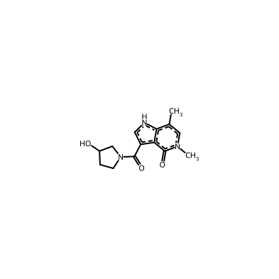 Cc1cn(C)c(=O)c2c(C(=O)N3CCC(O)C3)c[nH]c12